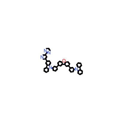 c1cnc(-c2cncc(-c3ccc4c(c3)c3ccccc3n4-c3cccc(-c4ccc5oc6ccc(-c7cccc(-n8c9ccccc9c9ccccc98)c7)cc6c5c4)c3)c2)nc1